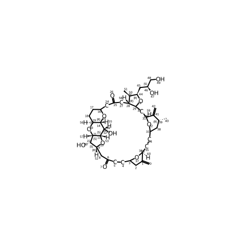 C=C1CC2CCC(=O)C[C@H]3O[C@H]4[C@@H](O)[C@H]5OC(CC[C@@H]5O[C@H]4[C@H]3O)CC(=O)C[C@H]3C(C[C@H]4OC(CC[C@@H]1O2)C[C@@H](C)C4=C)O[C@H](C[C@H](O)CO)[C@@H]3C